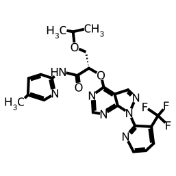 Cc1ccc(NC(=O)[C@H](COC(C)C)Oc2ncnc3c2cnn3-c2ncccc2C(F)(F)F)nc1